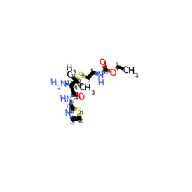 CCOC(=O)NCCSC(C)(C)[C@H](N)C(=O)Nc1nccs1